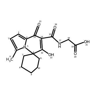 Cc1ccc2n1C1(CCCCC1)C(O)=C(C(=O)NCC(=O)O)C2=O